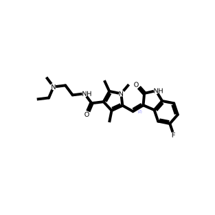 CCN(C)CCNC(=O)c1c(C)c(/C=C2\C(=O)Nc3ccc(F)cc32)n(C)c1C